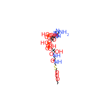 CCCOCOCOCCSCCNC(=O)CCNC(=O)C(O)C(C)(C)COP(=O)(O)OP(=O)(O)OC[C@H]1O[C@@H](n2cnc3c(N)ncnc32)[C@H](O)[C@@H]1OP(=O)(O)O